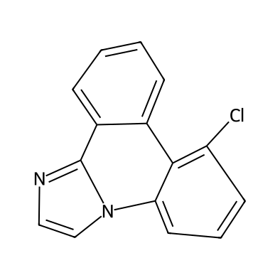 Clc1cccc2c1c1ccccc1c1nccn21